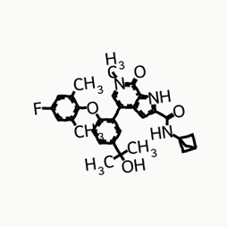 Cc1cc(F)cc(C)c1Oc1ccc(C(C)(C)O)cc1-c1cn(C)c(=O)c2[nH]c(C(=O)NC34CC(C3)C4)cc12